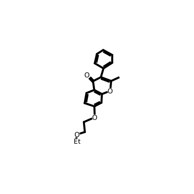 CCOCCOc1ccc2c(=O)c(-c3ccccc3)c(C)oc2c1